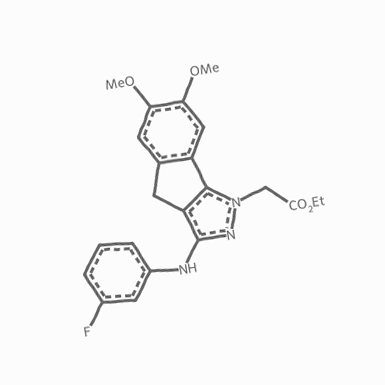 CCOC(=O)Cn1nc(Nc2cccc(F)c2)c2c1-c1cc(OC)c(OC)cc1C2